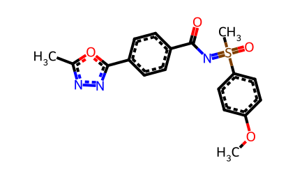 COc1ccc(S(C)(=O)=NC(=O)c2ccc(-c3nnc(C)o3)cc2)cc1